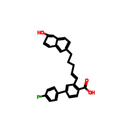 O=C(O)c1ccc(-c2ccc(F)cc2)cc1C=CCCCc1ccc2cc(O)ccc2c1